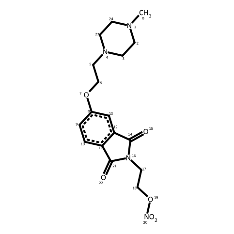 CN1CCN(CCOc2ccc3c(c2)C(=O)N(CCO[N+](=O)[O-])C3=O)CC1